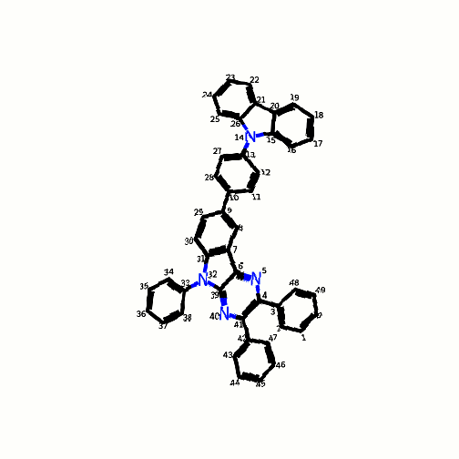 c1ccc(-c2nc3c4cc(-c5ccc(-n6c7ccccc7c7ccccc76)cc5)ccc4n(-c4ccccc4)c3nc2-c2ccccc2)cc1